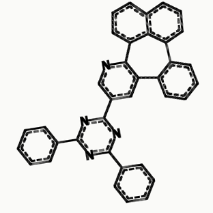 c1ccc(-c2nc(-c3ccccc3)nc(-c3cnc4c(c3)-c3ccccc3-c3cccc5cccc-4c35)n2)cc1